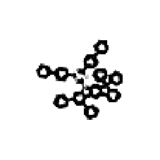 c1ccc(-c2ccc(-c3nc(-c4ccc(-c5ccccc5)cc4)nc(-n4c5cc6c(cc5c5c(-c7ccccc7)cc(-c7ccccc7)cc54)-c4ccccc4C6(c4ccccc4)c4ccccc4)n3)cc2)cc1